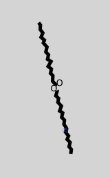 CCCCCC/C=C/CCCCCCCCCCOC(=O)CCCCCCCCCCCCCCCCC